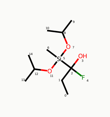 CCC(O)(F)[Si](C)(OC(C)C)OC(C)C